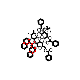 CC1O[C@@H](O[C@@H]2C(OC(=O)c3ccccc3)[C@H](OCc3ccccc3)OC(COC(=O)c3ccccc3)[C@H]2O[C@@H]2O[C@@H](COC(=O)c3ccccc3)[C@@H]3OC(C)(C)OC3C2OC(=O)c2ccccc2)C(OCc2ccccc2)[C@@H](OCc2ccccc2)[C@@H]1C